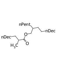 CCCCCCCCCCCCC(CCCCC)COC(=O)C(C)CCCCCCCCCCC